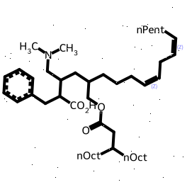 CCCCC/C=C\C/C=C\CCCC(COC(=O)CC(CCCCCCCC)CCCCCCCC)CC(CN(C)C)C(Cc1ccccc1)C(=O)O